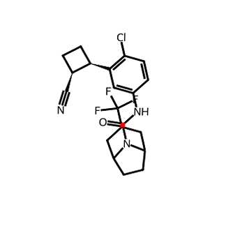 N#C[C@H]1CC[C@H]1c1cc(NC(=O)N2C3CCC2CC(C(F)(F)F)C3)ccc1Cl